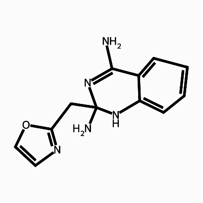 NC1=NC(N)(Cc2ncco2)Nc2ccccc21